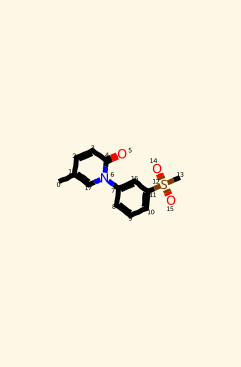 Cc1ccc(=O)n(-c2cccc(S(C)(=O)=O)c2)c1